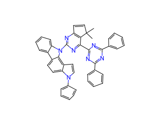 CC1(C)C=Cc2nc(-n3c4ccccc4c4ccc5c(ccn5-c5ccccc5)c43)nc(-c3nc(-c4ccccc4)nc(-c4ccccc4)n3)c21